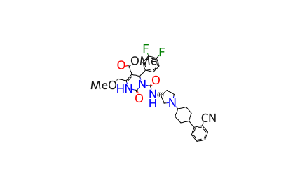 COCC1=C(C(=O)OC)C(c2ccc(F)c(F)c2)N(C(=O)N[C@@H]2CCN(C3CCC(c4ccccc4C#N)CC3)C2)C(=O)N1